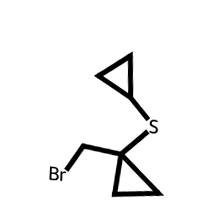 BrCC1(SC2CC2)CC1